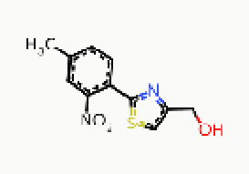 Cc1ccc(-c2nc(CO)cs2)c([N+](=O)[O-])c1